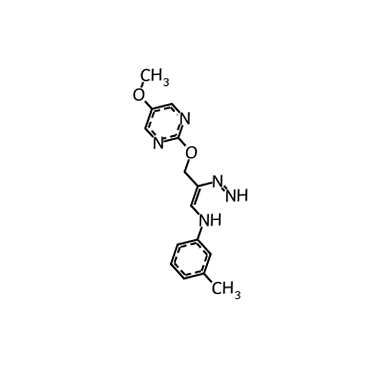 COc1cnc(OC/C(=C/Nc2cccc(C)c2)N=N)nc1